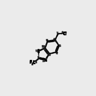 FC(F)(F)c1nc2ccc(CCl)cc2s1